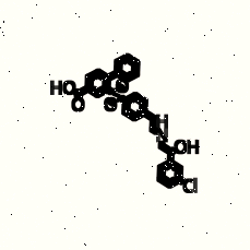 O=C(O)c1ccc(-c2ccccc2)c(S(=O)(=O)c2ccc(CCNCC(O)c3cccc(Cl)c3)cc2)c1